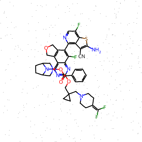 N#Cc1c(N)sc2c(F)cnc(-c3c4c(c5c(N6C7CCC6CN(OC(=O)c6ccccc6)C7)nc(OCC6(CN7CCC(=C(F)F)CC7)CC6)nc5c3F)COC4)c12